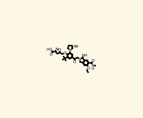 Br.CCOc1cc2c(cc1C(=O)NC)C(=N)N(CC(=O)c1cc(N3CCCC3)c(OCC3CC(C(=O)O)=NO3)c(C(C)(C)C)c1)C2